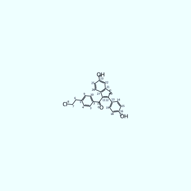 O=C(c1ccc(CCCl)cc1)c1c(-c2ccc(O)cc2)sc2cc(O)ccc12